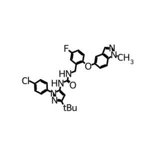 Cn1ncc2cc(Oc3ccc(F)cc3CNC(=O)Nc3cc(C(C)(C)C)nn3-c3ccc(Cl)cc3)ccc21